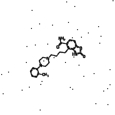 Cc1ccccc1N1CCN(CCCCc2c(C(N)=O)ccc3oc(=O)[nH]c23)CC1